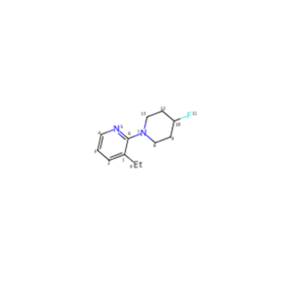 CCc1cccnc1N1CCC(F)CC1